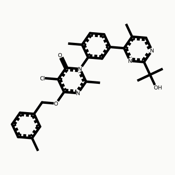 Cc1cccc(COc2nc(C)n(-c3cc(-c4nc(C(C)(C)O)ncc4C)ccc3C)c(=O)c2Cl)c1